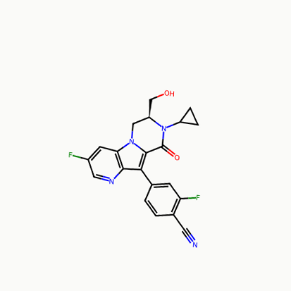 N#Cc1ccc(-c2c3n(c4cc(F)cnc24)C[C@@H](CO)N(C2CC2)C3=O)cc1F